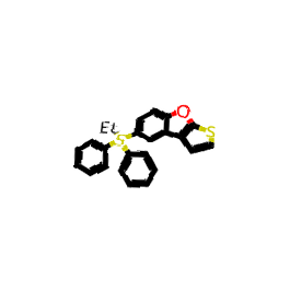 CCS(c1ccccc1)(c1ccccc1)c1ccc2oc3sccc3c2c1